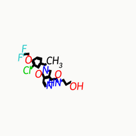 CC(c1ccc(OCC(F)F)c(Cl)c1)N1Cc2c(ccnc2C(=O)NCCCO)C1=O